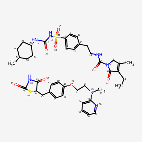 CCC1=C(C)CN(C(=O)NCCc2ccc(S(=O)(=O)NC(=O)N[C@H]3CC[C@H](C)CC3)cc2)C1=O.CN(CCOc1ccc(CC2SC(=O)NC2=O)cc1)c1ccccn1